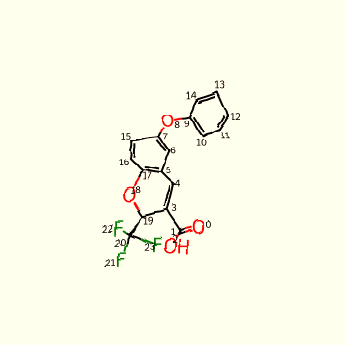 O=C(O)C1=Cc2cc(Oc3ccccc3)ccc2O[C@@H]1C(F)(F)F